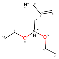 C=CC.CCO[SiH](C)OCC.[H+]